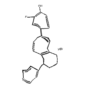 Br.Oc1ccc(-c2ccc3c(c2)CCCC3c2ccncc2)cc1F